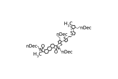 CCCCCCCCCCCCc1cc(C)sc1-c1ccc(/C=C/c2ccc(-c3sc(C4=c5ccc6cc7c8c(ccc7cc6c5C(=O)N4CCCCCCCCCCCC)=C(C)N(CCCCCCCCCCCC)C8=O)cc3CCCCCCCCCCCC)s2)s1